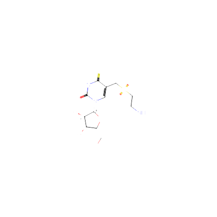 NCCS(=O)(=O)Cc1cn([C@@H]2O[C@H](CO)[C@@H](O)[C@H]2O)c(=O)[nH]c1=S